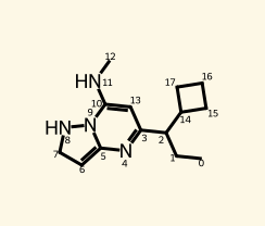 CCC(C1=NC2=CCNN2C(NC)=C1)C1CCC1